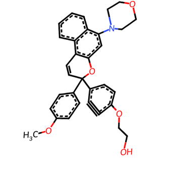 COc1ccc(C2(c3c#cc(OCCO)cc3)C=Cc3c(cc(N4CCOCC4)c4ccccc34)O2)cc1